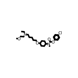 CCN(CCCCCOC1CCC(N(C)C(=O)Oc2ccc(Cl)cc2)CC1)CCOC